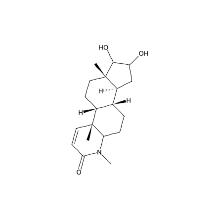 CN1C(=O)C=C[C@@]2(C)C1CC[C@@H]1[C@H]2CC[C@]2(C)C(O)C(O)C[C@@H]12